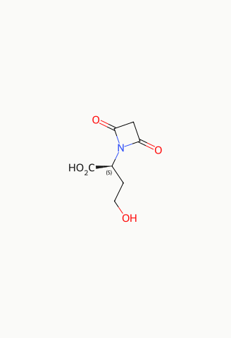 O=C(O)[C@H](CCO)N1C(=O)CC1=O